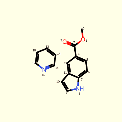 COC(=O)c1ccc2[nH]ccc2c1.c1ccncc1